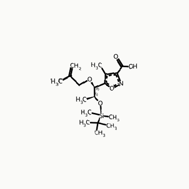 C=C(C)CO[C@@H](c1onc(C(=O)O)c1C)[C@H](C)O[Si](C)(C)C(C)(C)C